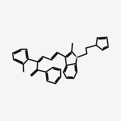 C=C(/C(=C\C=C\c1c(C)n(CCC2C=CC=C2)c2ccccc12)c1ccccc1C)c1ccccc1